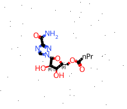 CCCC(=O)OC[C@H]1O[C@@H](n2cnc(C(N)=O)n2)[C@H](O)[C@@H]1O